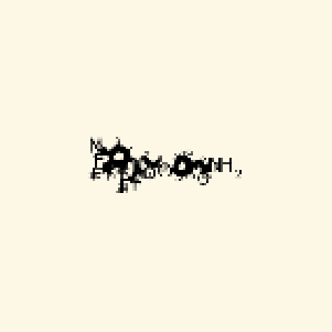 N#Cc1ccc(N2CC(COc3ccc(CC(N)=O)cc3)OC2C(F)(F)F)cc1C(F)(F)F